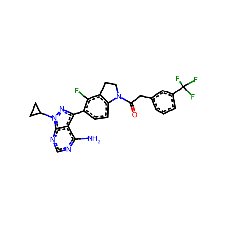 Nc1ncnc2c1c(-c1ccc3c(c1F)CCN3C(=O)Cc1cccc(C(F)(F)F)c1)nn2C1CC1